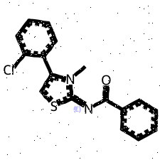 Cn1c(-c2ccccc2Cl)cs/c1=N/C(=O)c1ccccc1